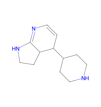 C1=CC(C2CCNCC2)C2CCNC2=N1